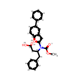 COC(=O)N(c1cc2cc(-c3ccccc3)ccc2o1)C(CC(=O)O)Cc1ccccc1